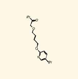 CC(C)C(=O)COCCCCOc1ccc(C(C)C)cn1